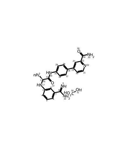 CCC[C@H](Nc1cccc(C(=N)N)c1)C(=O)Nc1ccc(-c2ccnc(C(N)=O)c2)cc1.O=C(O)O